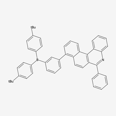 CC(C)(C)c1ccc(B(c2ccc(C(C)(C)C)cc2)c2cccc(-c3cccc4c3ccc3c(-c5ccccc5)nc5ccccc5c34)c2)cc1